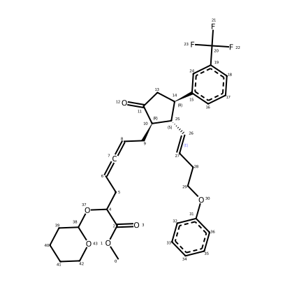 COC(=O)C(CC=C=CC[C@H]1C(=O)C[C@@H](c2cccc(C(F)(F)F)c2)[C@@H]1/C=C/CCOc1ccccc1)OC1CCCCO1